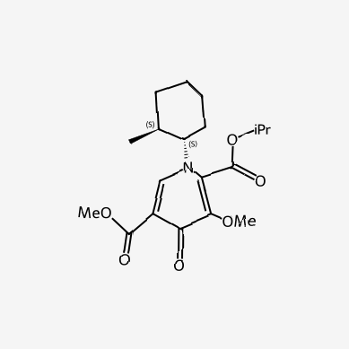 COC(=O)c1cn([C@H]2CCCC[C@@H]2C)c(C(=O)OC(C)C)c(OC)c1=O